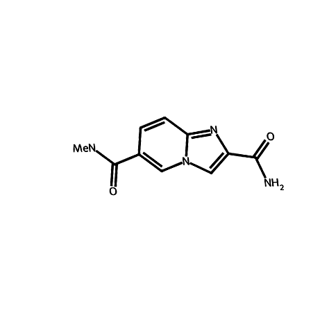 CNC(=O)c1ccc2nc(C(N)=O)cn2c1